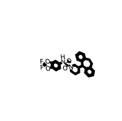 O=S(=O)(Nc1ccc2c(c1)OC(F)(F)O2)N1CCCC(C2c3ccccc3CCc3ccccc32)C1